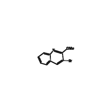 COc1nc2ccccc2cc1Br